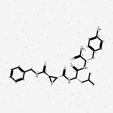 CC(C)C[C@H](NC(=O)[C@@H]1O[C@H]1C(=O)NCc1ccccc1)C(=O)N[C@@H](Cc1ccc(O)cc1)C(N)=O